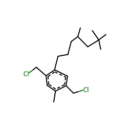 Cc1cc(CCl)c(CCCC(C)CC(C)(C)C)cc1CCl